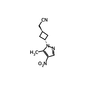 Cc1c([N+](=O)[O-])cnn1[C@H]1C[C@H](CC#N)C1